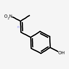 C/C(=C\c1ccc(O)cc1)[N+](=O)[O-]